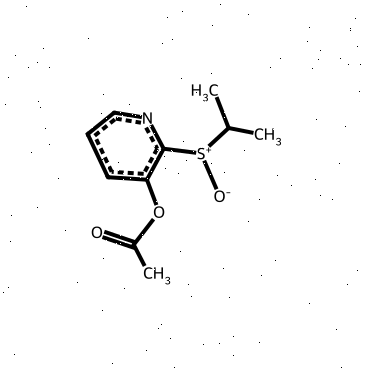 CC(=O)Oc1cccnc1[S+]([O-])C(C)C